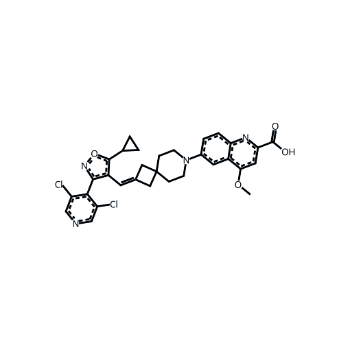 COc1cc(C(=O)O)nc2ccc(N3CCC4(CC3)CC(=Cc3c(-c5c(Cl)cncc5Cl)noc3C3CC3)C4)cc12